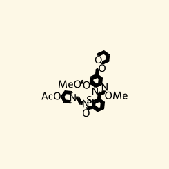 COCOc1cc(COC2CCCCO2)cc2nc(OC)c(-c3cccc4c(=O)n(CCN5CCC(OC(C)=O)CC5)sc34)nc12